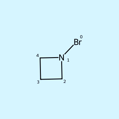 BrN1CCC1